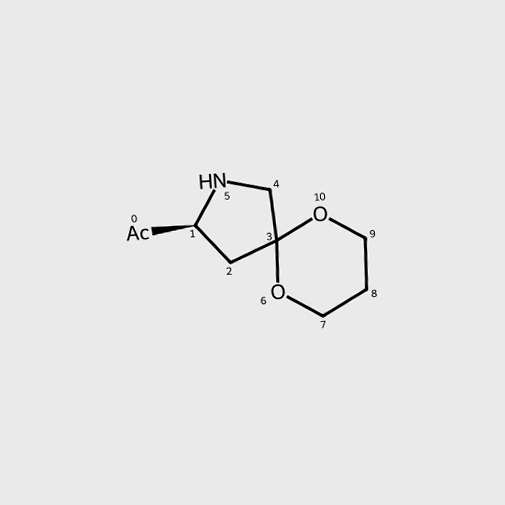 CC(=O)[C@@H]1CC2(CN1)OCCCO2